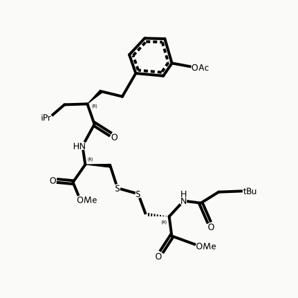 COC(=O)[C@H](CSSC[C@H](NC(=O)[C@H](CCc1cccc(OC(C)=O)c1)CC(C)C)C(=O)OC)NC(=O)CC(C)(C)C